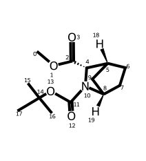 COC(=O)[C@@H]1[C@@H]2CC[C@@H](C2)N1C(=O)OC(C)(C)C